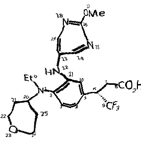 CCN(c1ccc([C@H](CC(=O)O)C(F)(F)F)cc1Nc1cnc(OC)nc1)C1CCOCC1